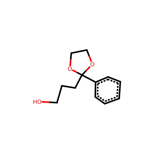 OCCCC1(c2ccccc2)OCCO1